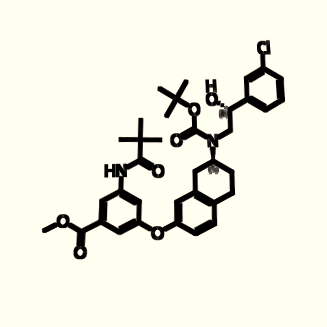 COC(=O)c1cc(NC(=O)C(C)(C)C)cc(Oc2ccc3c(c2)C[C@@H](N(C[C@H](O)c2cccc(Cl)c2)C(=O)OC(C)(C)C)CC3)c1